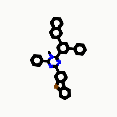 CN1C(c2cc(-c3ccccc3)cc(-c3ccc4ccccc4c3)c2)=NC(c2ccc3c(c2)sc2ccccc23)=NC1c1ccccc1